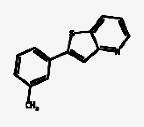 Cc1cccc(-c2cc3ncccc3s2)c1